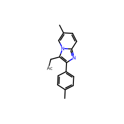 CC(=O)Cc1c(-c2ccc(C)cc2)nc2ccc(C)cn12